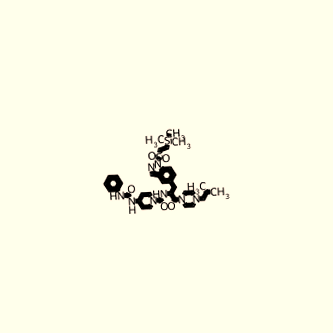 CC(C)CN1CCN(C(=O)C(Cc2ccc3c(cnn3S(=O)(=O)CC[Si](C)(C)C)c2)NC(=O)N2CCC(NC(=O)Nc3ccccc3)CC2)CC1